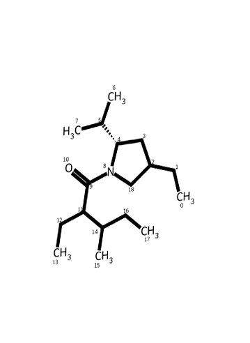 CCC1C[C@@H](C(C)C)N(C(=O)C(CC)C(C)CC)C1